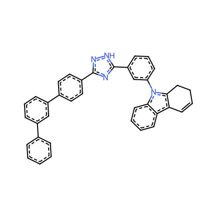 C1=Cc2c(n(-c3cccc(-c4nc(-c5ccc(-c6cccc(-c7ccccc7)c6)cc5)n[nH]4)c3)c3ccccc23)CC1